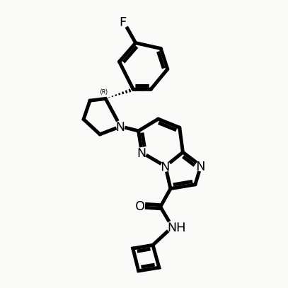 O=C(NC1=CC=C1)c1cnc2ccc(N3CCC[C@@H]3c3cccc(F)c3)nn12